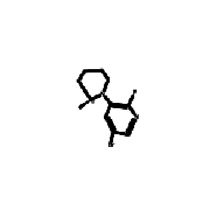 C[C@H]1CCCCN1c1cc(Br)cnc1F